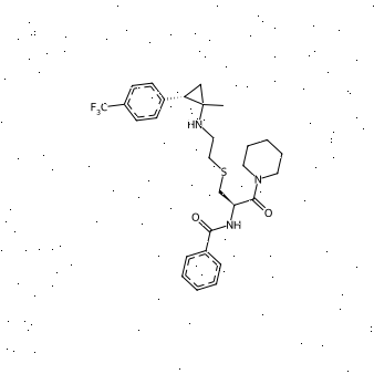 CC1(NCCSC[C@H](NC(=O)c2ccccc2)C(=O)N2CCCCC2)C[C@H]1c1ccc(C(F)(F)F)cc1